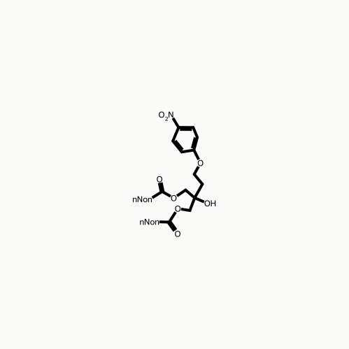 CCCCCCCCCC(=O)OCC(O)(CCOc1ccc([N+](=O)[O-])cc1)COC(=O)CCCCCCCCC